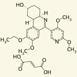 CCOc1cc2c(cc1OC)C(c1cnc(OC)cc1OC)=N[C@@H]1CC[C@@H](O)C[C@H]21.O=C(O)/C=C/C(=O)O